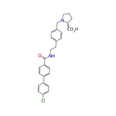 O=C(NCCc1ccc(CN2CCC[C@H]2C(=O)O)cc1)c1ccc(-c2ccc(Cl)cc2)cc1